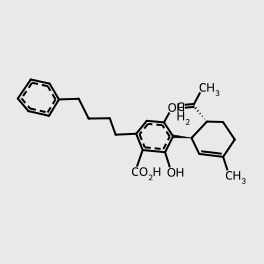 C=C(C)[C@@H]1CCC(C)=C[C@H]1c1c(O)cc(CCCCc2ccccc2)c(C(=O)O)c1O